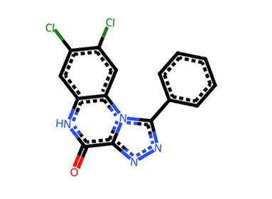 O=c1[nH]c2cc(Cl)c(Cl)cc2n2c(-c3ccccc3)nnc12